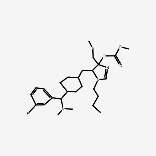 CCCCN1C=NC(CSC)(OC(=O)OC)C1CC1CCC(C(c2cccc(F)c2)N(C)C)CC1